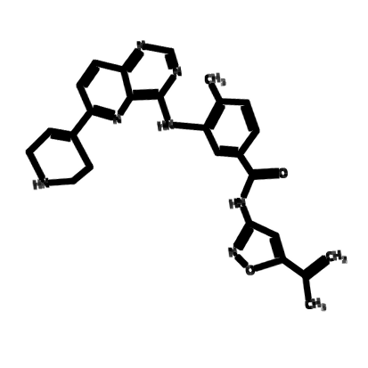 C=C(C)c1cc(NC(=O)c2ccc(C)c(Nc3ncnc4ccc(C5=CCNCC5)nc34)c2)no1